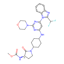 COC(=O)N[C@@H]1CCN(C2CCC(Nc3cc(-n4c(C(F)F)nc5ccccc54)nc(N4CCOCC4)n3)CC2)C1=O